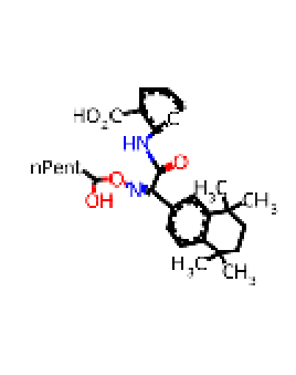 CCCCCC(O)ON=C(C(=O)Nc1ccccc1C(=O)O)c1ccc2c(c1)C(C)(C)CCC2(C)C